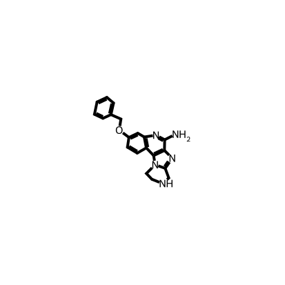 Nc1nc2cc(OCc3ccccc3)ccc2c2c1nc1n2CCNC1